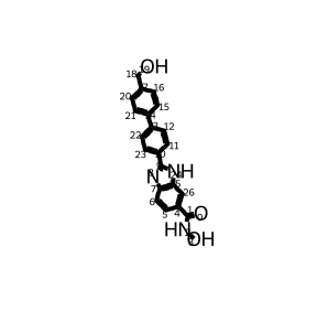 O=C(NO)c1ccc2nc(-c3ccc(-c4ccc(CO)cc4)cc3)[nH]c2c1